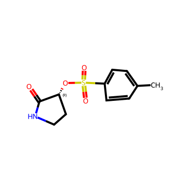 Cc1ccc(S(=O)(=O)O[C@@H]2CCNC2=O)cc1